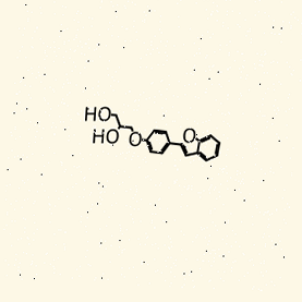 OCC(O)COc1ccc(-c2cc3ccccc3o2)cc1